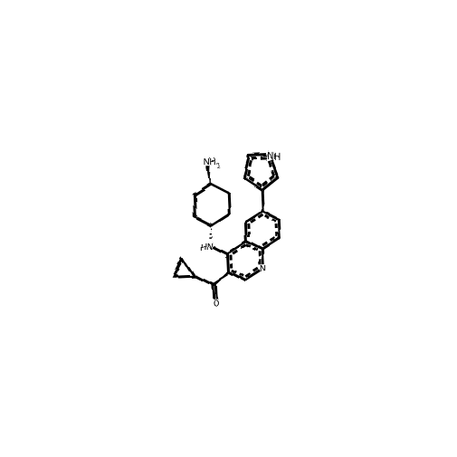 N[C@H]1CC[C@H](Nc2c(C(=O)C3CC3)cnc3ccc(-c4cc[nH]c4)cc23)CC1